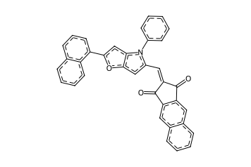 O=C1C(=Cc2cc3oc(-c4cccc5ccccc45)cc3n2-c2ccccc2)C(=O)c2cc3ccccc3cc21